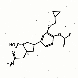 NC(=O)C[C@@H]1CC(c2ccc(OC(F)F)c(OCC3CC3)c2)CN1C(=O)O